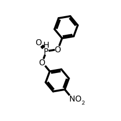 O=[N+]([O-])c1ccc(O[PH](=O)Oc2ccccc2)cc1